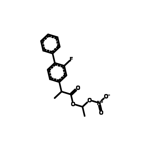 CC(OC(=O)C(C)c1ccc(-c2ccccc2)c(F)c1)O[N+](=O)[O-]